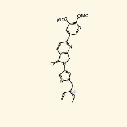 C=C/C(=C\C)Cn1cc(N2Cc3nc(-c4cnc(OC)c(OC)c4)ccc3C2=O)cn1